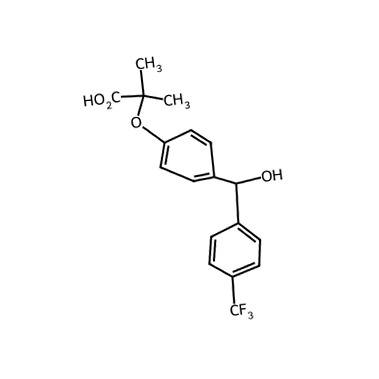 CC(C)(Oc1ccc(C(O)c2ccc(C(F)(F)F)cc2)cc1)C(=O)O